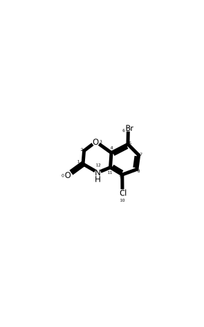 O=C1COc2c(Br)ccc(Cl)c2N1